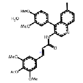 COc1ccc(-c2c(NC(=O)/C=C/c3cc(OC)c(OC(C)=O)c(OC)c3)cnc3ccc(C)cc23)cc1OC.O